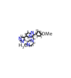 COc1ccc(-c2nc3ccc(-c4cncnc4)cn3c2CN2CCCN(C)CC2)cc1